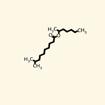 CCCCCC(C)OC(=O)CCCCCCCC(C)C